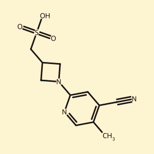 Cc1cnc(N2CC(CS(=O)(=O)O)C2)cc1C#N